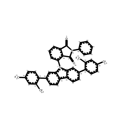 O=C1c2cccc(-n3c4cc(-c5ccc(C(F)(F)F)cc5C(F)(F)F)ccc4c4ccc(-c5ccc(C(F)(F)F)cc5C(F)(F)F)cc43)c2C(=O)N1c1ccccc1